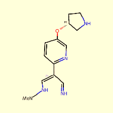 CNN/C=C(\C=N)c1ccc(O[C@@H]2CCNC2)cn1